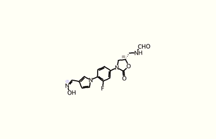 O=CNC[C@H]1CN(c2ccc(-n3ccc(/C=N\O)c3)c(F)c2)C(=O)O1